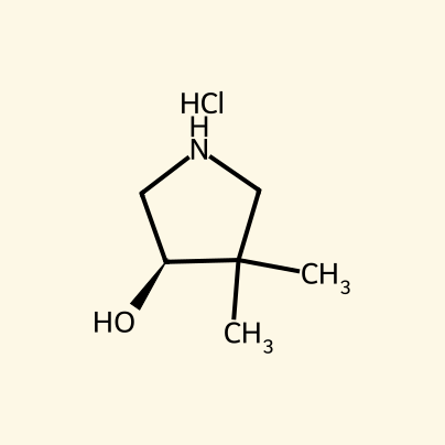 CC1(C)CNC[C@@H]1O.Cl